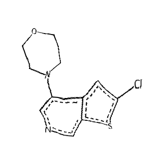 Clc1cc2c(N3CCOCC3)cncc2s1